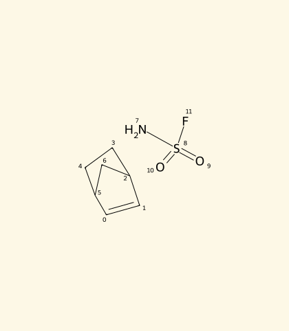 C1=CC2CCC1C2.NS(=O)(=O)F